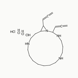 C=C=CC1NCCCNCCCCCCCNCCC2C(C=C=C)N12.Cl.Cl.Cl.Cl